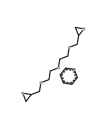 C(COCC1CO1)OCCOCC1CO1.c1ccncc1